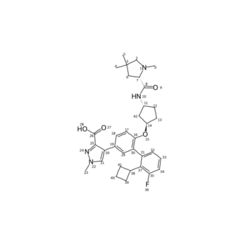 CN1CC(C)(C)C[C@H]1C(=O)N[C@@H]1CC[C@@H](Oc2ccc(-c3cn(C)nc3C(=O)O)cc2-c2cccc(F)c2C2CCC2)C1